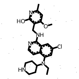 CCN(c1cc(Cl)cc2c(NCc3c(OC)cc(C)nc3O)nccc12)C1CCNCC1